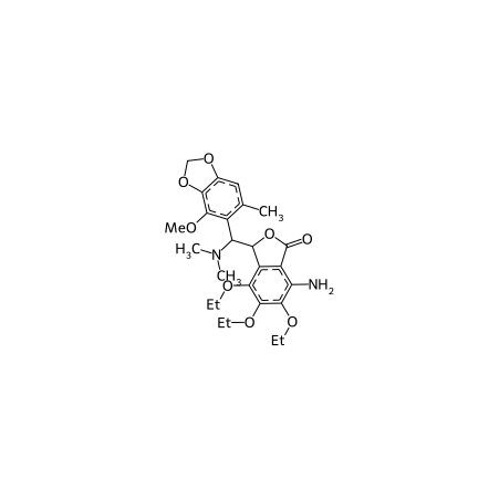 CCOc1c(N)c2c(c(OCC)c1OCC)C(C(c1c(C)cc3c(c1OC)OCO3)N(C)C)OC2=O